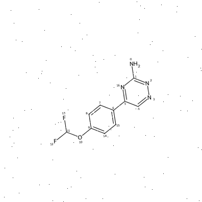 Nc1nncc(-c2ccc(OC(F)F)cc2)n1